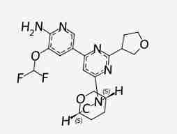 Nc1ncc(-c2cc(N3C[C@@H]4CC[C@H]3CO4)nc(C3CCOC3)n2)cc1OC(F)F